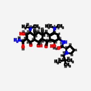 CN(C)c1cc(NC(=O)[C@@H]2CCCN2CC(C)(C)C)c(O)c2c1C[C@H]1C[C@@H]3C(C(=O)C(C(N)=O)=C(O)[C@H]3N(C)C)C(O)=C1C2=O